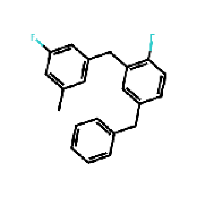 Cc1cc(F)cc(Cc2cc(Cc3ccccc3)ccc2F)c1